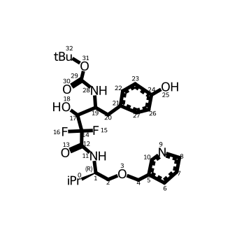 CC(C)[C@H](COCc1cccnc1)NC(=O)C(F)(F)C(O)C(Cc1ccc(O)cc1)NC(=O)OC(C)(C)C